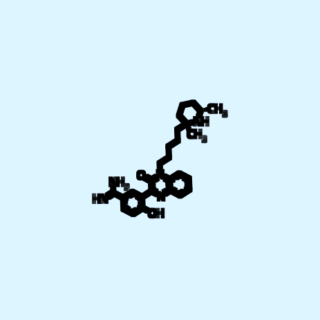 C[C@H]1CCC[C@@](C)(CCCCCn2c(=O)c(-c3cc(C(=N)N)ccc3O)nc3ccccc32)N1